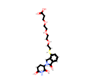 O=C(O)CCOCCOCCOCCSc1cccc2c1CN(C1CCC(=O)NC1=O)C2=O